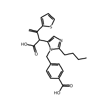 C=C(c1cccs1)C(C(=O)O)c1cnc(CCCC)n1Cc1ccc(C(=O)O)cc1